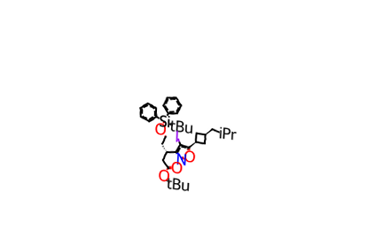 CC(C)C[C@H]1C[C@@H](c2onc([C@@H](CCO[Si](c3ccccc3)(c3ccccc3)C(C)(C)C)CC(=O)OC(C)(C)C)c2I)C1